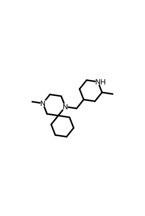 CC1CC(CN2CCN(C)CC23CCCCC3)CCN1